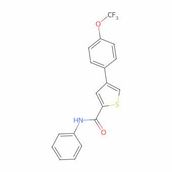 O=C(Nc1ccccc1)c1cc(-c2ccc(OC(F)(F)F)cc2)cs1